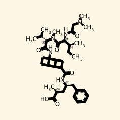 CC[C@H](C)[C@H](NC(=O)CN(C)C)C(=O)N(C)[C@H](C(=O)NC12C3C4C1C1C2C3C41C(=O)N[C@@H](Cc1ccccc1)C[C@H](C)C(=O)O)C(C)C